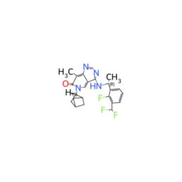 Cc1c(=O)n([C@H]2CC3CC2C3)cc2c(N[C@H](C)c3cccc(C(F)F)c3F)ncnc12